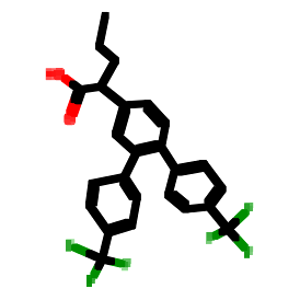 CCCC(C(=O)O)c1ccc(-c2ccc(C(F)(F)F)cc2)c(-c2ccc(C(F)(F)F)cc2)c1